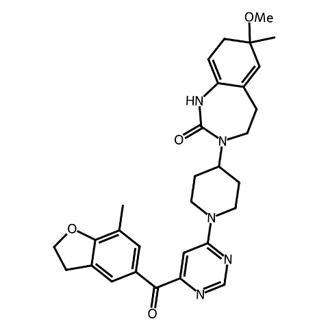 COC1(C)C=C2CCN(C3CCN(c4cc(C(=O)c5cc(C)c6c(c5)CCO6)ncn4)CC3)C(=O)NC2=CC1